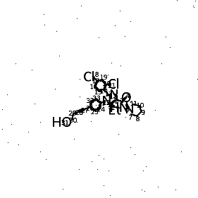 CCc1c(C(=O)NN2CCCCC2)nc(-c2ccc(Cl)cc2Cl)n1-c1ccc(C#CCCO)cc1